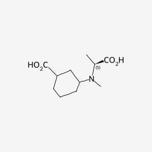 C[C@@H](C(=O)O)N(C)C1CCCC(C(=O)O)C1